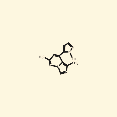 Cc1cc(-c2ccnn2C)c2c(C)ncn2n1